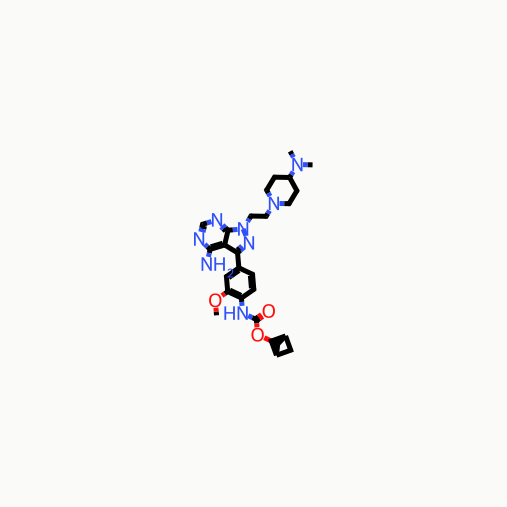 COc1cc(-c2nn(CCN3CCC(N(C)C)CC3)c3ncnc(N)c23)ccc1NC(=O)OC1C2CC1C2